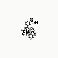 Cc1ccc(C(=O)O)cc1-c1nc([S+](C)[O-])nc2c1CNC(=O)N2c1c(F)cccc1F